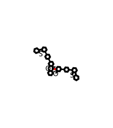 S=P12c3ccc(-c4ccc(-c5cccc6c5sc5ccccc56)cc4)cc3Oc3cccc(c31)Oc1cc(-c3ccc(-c4cccc5c4sc4ccccc45)cc3)ccc12